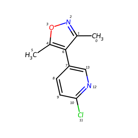 Cc1noc(C)c1-c1ccc(Cl)nc1